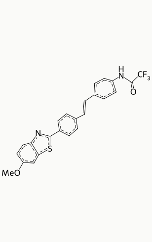 COc1ccc2nc(-c3ccc(/C=C/c4ccc(NC(=O)C(F)(F)F)cc4)cc3)sc2c1